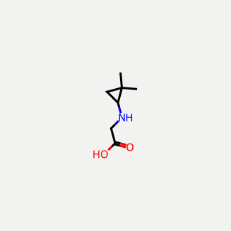 CC1(C)CC1NCC(=O)O